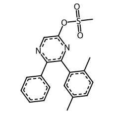 Cc1ccc(C)c(-c2nc(OS(C)(=O)=O)cnc2-c2ccccc2)c1